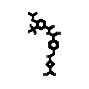 CC(C)Oc1ccc(C(=O)NC(=N)c2ccc(CNC3CC(C(=O)O)C3)cc2)cc1C(F)(F)F